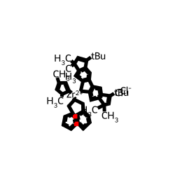 CC1=CC(C)[C]([Zr+2](=[C](Cc2ccccc2)Cc2ccccc2)[CH]2c3cc4c(cc3-c3cc5c(cc32)C(C)(C)C=C5C(C)(C)C)C(C(C)(C)C)=CC4(C)C)=C1.[Cl-].[Cl-]